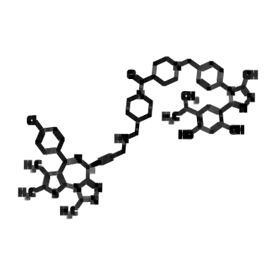 Cc1sc2c(c1C)C(c1ccc(Cl)cc1)=N[C@@H](C#CCNCC1CCN(C(=O)C3CCN(Cc4ccc(-n5c(O)nnc5-c5cc(C(C)C)c(O)cc5O)cc4)CC3)CC1)c1nnc(C)n1-2